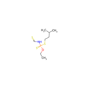 CCOP(=S)(NC=S)SCCC(C)C